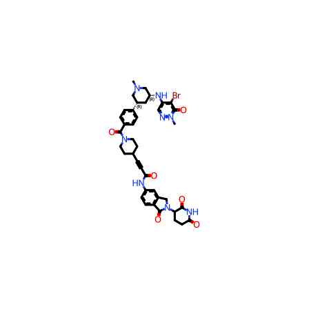 CN1C[C@H](Nc2cnn(C)c(=O)c2Br)C[C@H](c2ccc(C(=O)N3CCC(C#CC(=O)Nc4ccc5c(c4)CN(C4CCC(=O)NC4=O)C5=O)CC3)cc2)C1